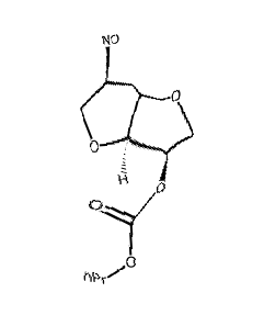 CCCOC(=O)O[C@@H]1COC2[C@H](N=O)CO[C@@H]21